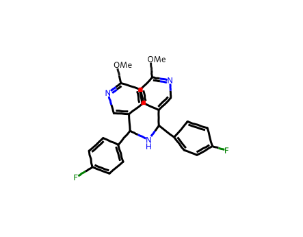 COc1ccc(C(NC(c2ccc(F)cc2)c2ccc(OC)nc2)c2ccc(F)cc2)cn1